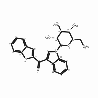 CC(=O)OC[C@H]1OC(n2cc(C(=O)c3cc4ccccc4s3)c3ccccc32)[C@H](OC(C)=O)[C@@H](OC(C)=O)[C@@H]1OC(C)=O